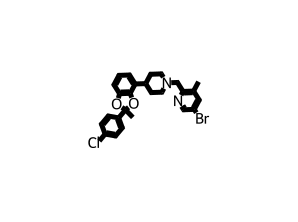 Cc1cc(Br)cnc1CN1CCC(c2cccc3c2OC(C)(c2ccc(Cl)cc2)O3)CC1